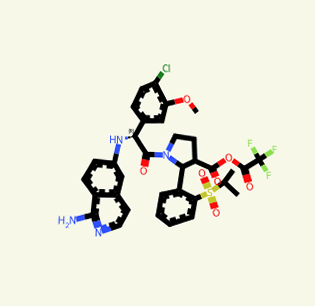 COc1cc([C@@H](Nc2ccc3c(N)nccc3c2)C(=O)N2CCC(C(=O)OC(=O)C(F)(F)F)C2c2ccccc2S(=O)(=O)C(C)C)ccc1Cl